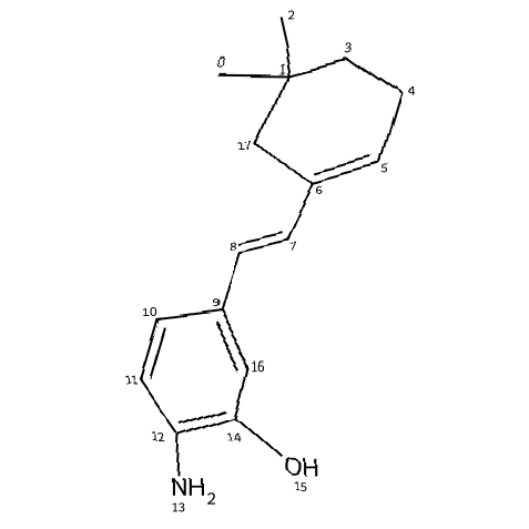 CC1(C)CCC=C(C=Cc2ccc(N)c(O)c2)C1